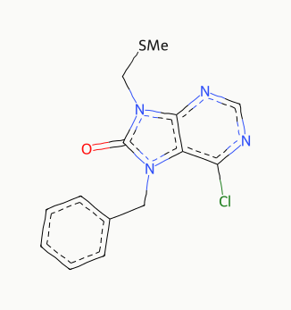 CSCn1c(=O)n(Cc2ccccc2)c2c(Cl)ncnc21